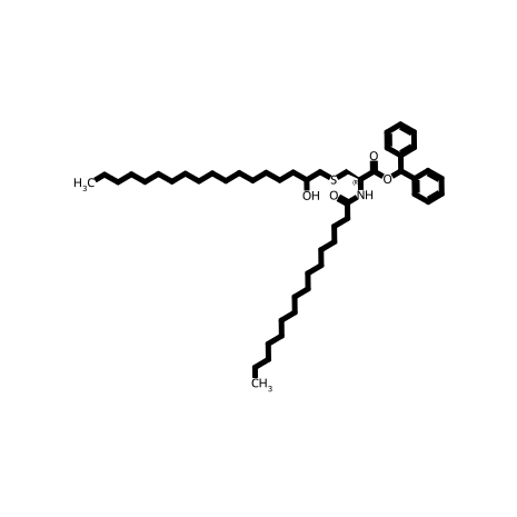 CCCCCCCCCCCCCCCCC(O)CSC[C@H](NC(=O)CCCCCCCCCCCCCCC)C(=O)OC(c1ccccc1)c1ccccc1